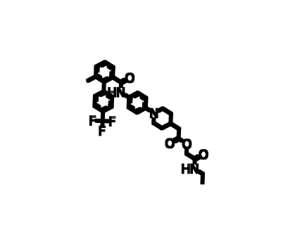 CCNC(=O)COC(=O)CC1CCN(c2ccc(NC(=O)c3cccc(C)c3-c3ccc(C(F)(F)F)cc3)cc2)CC1